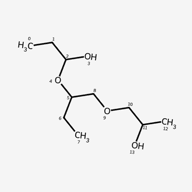 CCC(O)OC(CC)COCC(C)O